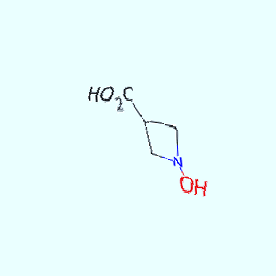 O=C(O)C1CN(O)C1